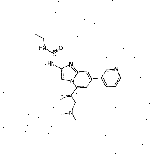 CCNC(=O)Nc1cn2c(C(=O)CN(C)C)cc(-c3cccnc3)cc2n1